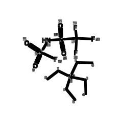 CC[N+](CC)(CC)CC.O=S(=O)(F)NS(=O)(=O)C(F)(F)F